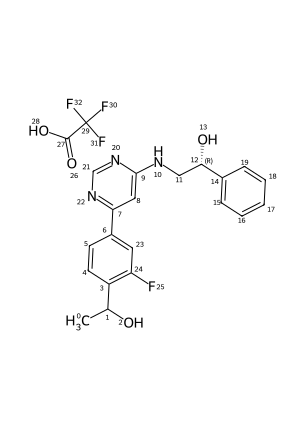 CC(O)c1ccc(-c2cc(NC[C@H](O)c3ccccc3)ncn2)cc1F.O=C(O)C(F)(F)F